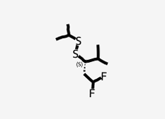 CC(C)SS[C@@H](CC(F)F)C(C)C